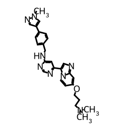 CN(C)CCCOc1ccn2c(-c3cc(NCc4ccc(-c5cnn(C)c5)cc4)ncn3)cnc2c1